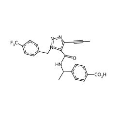 CC#Cc1nnn(Cc2ccc(C(F)(F)F)cc2)c1C(=O)NC(C)c1ccc(C(=O)O)cc1